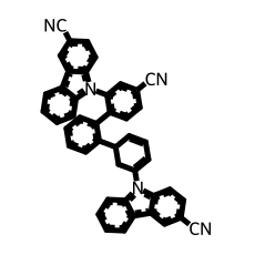 N#Cc1ccc(-c2ccccc2C2C=CC=C(n3c4ccccc4c4cc(C#N)ccc43)C2)c(-n2c3ccccc3c3cc(C#N)ccc32)c1